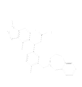 Cc1ccc(C(CC(=O)O)c2ccc3c(nnn3C)c2C)cc1CN1Cc2ccccc2O[C@@H](C)C1